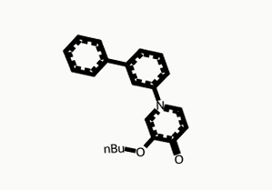 CCCCOc1cn(-c2cccc(-c3ccccc3)c2)ccc1=O